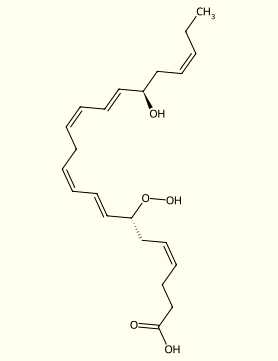 CC/C=C\C[C@@H](O)/C=C/C=C\C/C=C\C=C\[C@@H](C/C=C\CCC(=O)O)OO